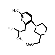 COCC1CN(c2ccc(C)nc2CN(C)C)CCO1